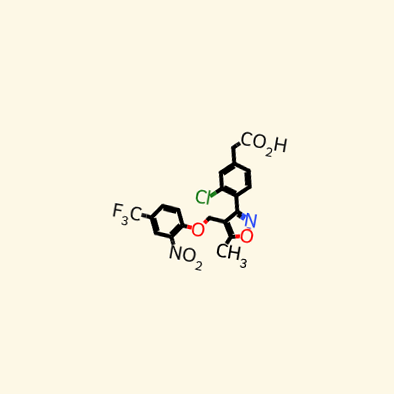 Cc1onc(-c2ccc(CC(=O)O)cc2Cl)c1COc1ccc(C(F)(F)F)cc1[N+](=O)[O-]